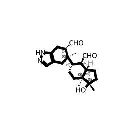 C[C@]1([C@H]2CC[C@@]3(C)[C@@H](CC[C@]3(C)O)[C@@H]2C=O)Cc2cn[nH]c2C[C@@H]1C=O